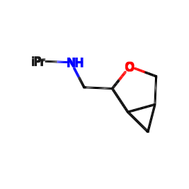 CC(C)NCC1OCC2CC21